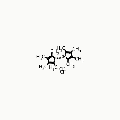 Cc1c(C)c(C)[p]([V+2][p]2c(C)c(C)c(C)c2C)c1C.[Cl-].[Cl-]